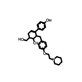 CC1C(CO)CC=C(c2ccc(O)cc2)C1Cc1ccc(OCCN2CCCCC2)cc1